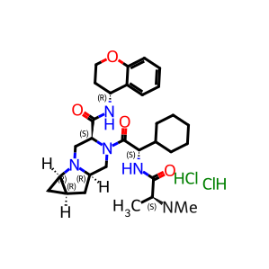 CN[C@@H](C)C(=O)N[C@H](C(=O)N1C[C@H]2C[C@H]3C[C@H]3N2C[C@H]1C(=O)N[C@@H]1CCOc2ccccc21)C1CCCCC1.Cl.Cl